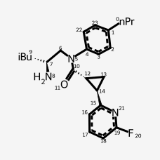 CCCc1ccc(N(C[C@@H](N)[C@@H](C)CC)C(=O)[C@@H]2C[C@H]2c2cccc(F)n2)cc1